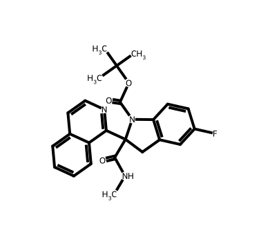 CNC(=O)C1(c2nccc3ccccc23)Cc2cc(F)ccc2N1C(=O)OC(C)(C)C